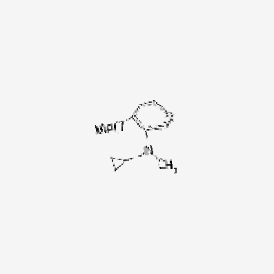 COc1ccccc1N(C)C1CC1